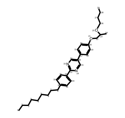 CCCCCCCCCc1ccc(-c2ncc(-c3ccc(OCC(C)OCCCC)cc3)cn2)cc1